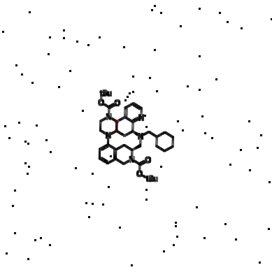 CC(C)(C)OC(=O)N1CCN(c2cccc3c2C[C@@H](CN(CC2CCCCC2)[C@H]2CCCc4cccnc42)N(C(=O)OC(C)(C)C)C3)CC1